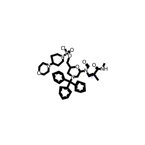 CNC(=O)/C(C)=C\N(C=O)C1CN(C(c2ccccc2)(c2ccccc2)c2ccccc2)CC(COP(=O)(Cl)N2CCC(N3CCOCC3)CC2)O1